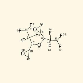 FC(F)C(F)(F)C(OC(C1CO1)C(F)(F)C(F)F)C1CO1